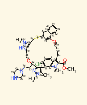 COC(=O)c1c2c3ccc(Cl)c(c3n1C)-c1c(nn(C)c1C)C(CCN1CCNCC1)OCC1C=C(CSc3cc(c4ccccc4c3)OCCC2)N(C)N1